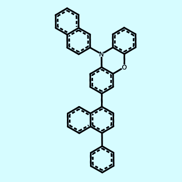 c1ccc(-c2ccc(-c3ccc4c(c3)Oc3ccccc3N4c3ccc4ccccc4c3)c3ccccc23)cc1